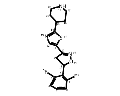 Fc1cccc(F)c1C1CC(c2cnc(C3CCNCC3)s2)=NO1